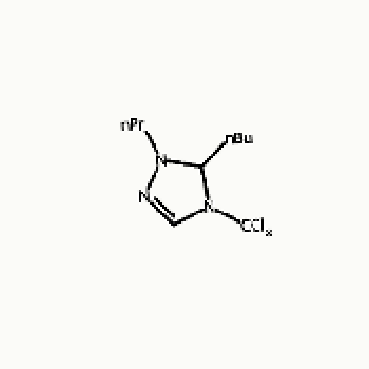 CCCCC1N(CCC)N=CN1C(Cl)(Cl)Cl